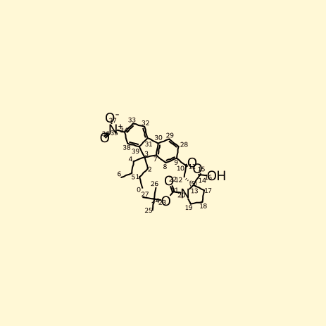 CCCC1(CCC)c2cc(C(=O)C[C@]3(C(=O)O)CCCN3C(=O)OC(C)(C)C)ccc2-c2ccc([N+](=O)[O-])cc21